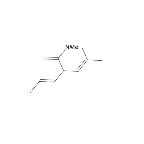 C=C(NC)C(C=C(C)C)/C=C/C